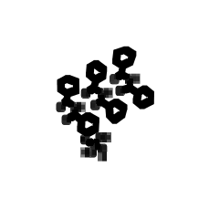 O=C(NC(=O)c1ccccc1)c1ccccc1.O=C(NC(=O)c1ccccc1)c1ccccc1.O=C(NC(=O)c1ccccc1)c1ccccc1.O=P(O)(O)O